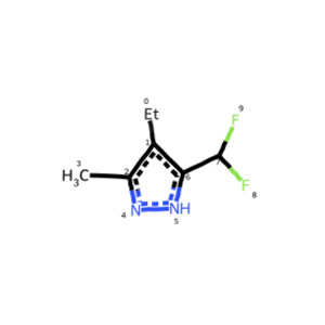 CCc1c(C)n[nH]c1C(F)F